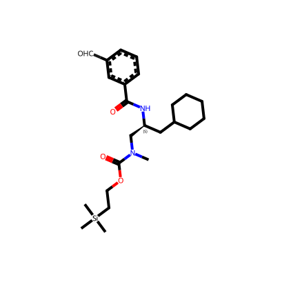 CN(C[C@H](CC1CCCCC1)NC(=O)c1cccc(C=O)c1)C(=O)OCC[Si](C)(C)C